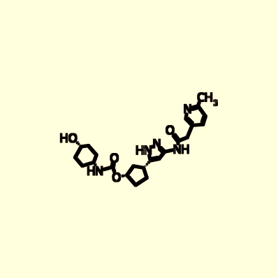 Cc1ccc(CC(=O)Nc2cc([C@@H]3CC[C@H](OC(=O)N[C@H]4CC[C@@H](O)CC4)C3)[nH]n2)cn1